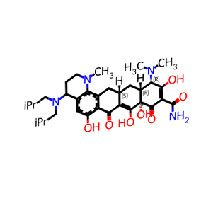 CC(C)CN(CC(C)C)C1CCN(C)c2c1cc(O)c1c2C[C@@H]2C[C@@H]3[C@@H](N(C)C)C(O)=C(C(N)=O)C(=O)[C@@]3(O)C(O)=C2C1=O